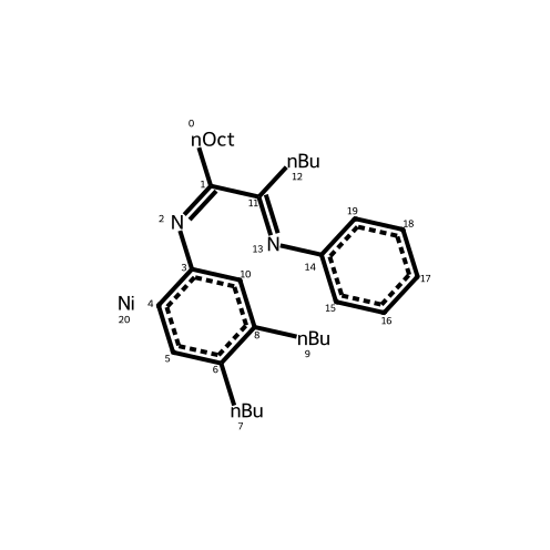 CCCCCCCCC(=Nc1ccc(CCCC)c(CCCC)c1)C(CCCC)=Nc1ccccc1.[Ni]